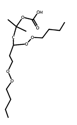 CCCCOOCCC(CC(C)(C)OC(=O)O)OOCCCC